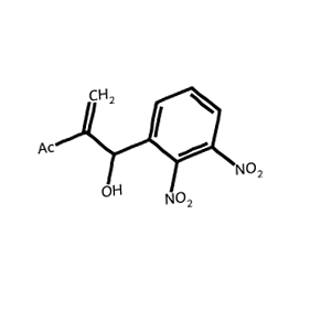 C=C(C(C)=O)C(O)c1cccc([N+](=O)[O-])c1[N+](=O)[O-]